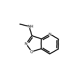 CNc1noc2cccnc12